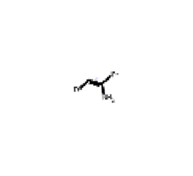 CC/C=C(\N)C(C)C